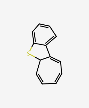 C1=CC=C2c3ccccc3SC2C=C1